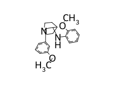 COc1cccc(C2C(Nc3ccccc3OC)C3CCN2CC3)c1